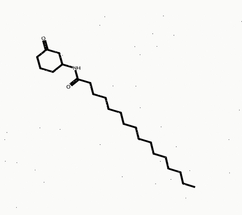 CCCCCCCCCCCCCCCC(=O)NC1CCCC(=O)C1